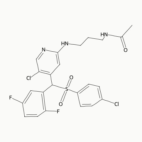 CC(=O)NCCCNc1cc(C(c2cc(F)ccc2F)S(=O)(=O)c2ccc(Cl)cc2)c(Cl)cn1